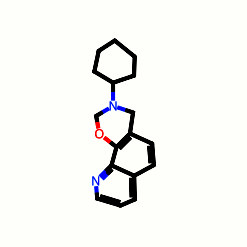 c1cnc2c3c(ccc2c1)CN(C1CCCCC1)CO3